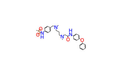 CN(CCCN(C)Cc1ccc(NS(C)(=O)=O)cc1)CC(=O)Nc1ccc(Oc2ccccc2)cc1